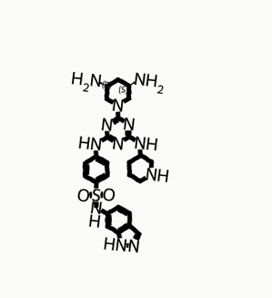 N[C@@H]1C[C@H](N)CN(c2nc(Nc3ccc(S(=O)(=O)Nc4ccc5cn[nH]c5c4)cc3)nc(NC3CCCNC3)n2)C1